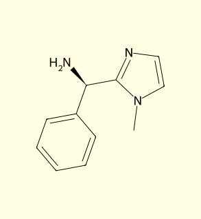 Cn1ccnc1[C@H](N)c1ccccc1